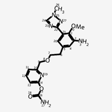 COc1c(N)cc(CCOCc2cccc(OC(N)=O)n2)cc1-c1ncn(C)n1